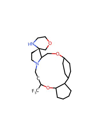 FC(F)(F)C1CCN2CC[C@@]3(COCCN3)C2COC2CCC(CC2)C2CCCCC2O1